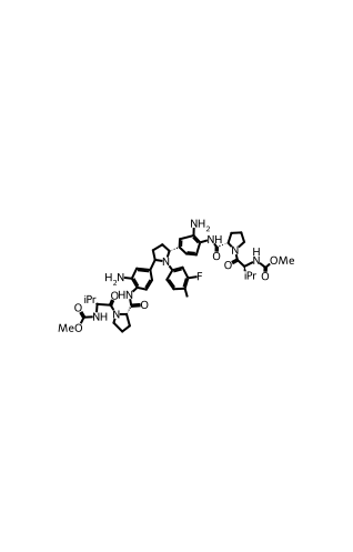 COC(=O)N[C@H](C(=O)N1CCC[C@H]1C(=O)Nc1ccc(C2CC[C@H](c3ccc(NC(=O)[C@@H]4CCCN4C(=O)[C@@H](NC(=O)OC)C(C)C)c(N)c3)N2c2ccc(C)c(F)c2)cc1N)C(C)C